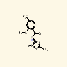 CCSc1cc(C(F)(F)F)cnc1C(=O)/N=c1\sc(C(F)(F)F)nn1C